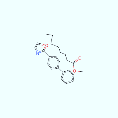 CCCCCCCC(=O)OC.c1ccc(-c2ccc(-c3ncco3)cc2)cc1